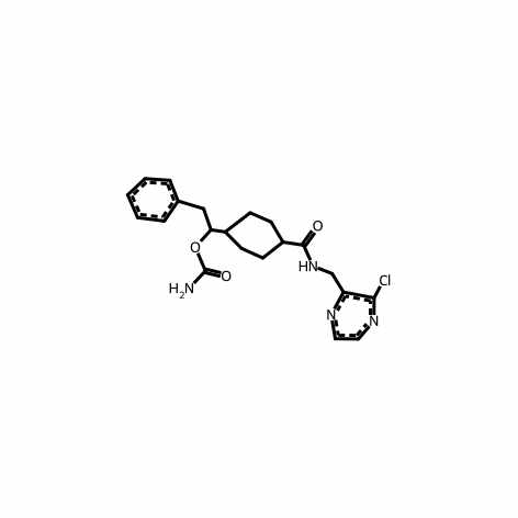 NC(=O)OC(Cc1ccccc1)C1CCC(C(=O)NCc2nccnc2Cl)CC1